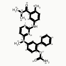 Cc1ccc(Nc2nccc(N(C)c3ccc(OC(N)=O)c(-c4ccccc4)c3)n2)cc1C(=O)N(C)C